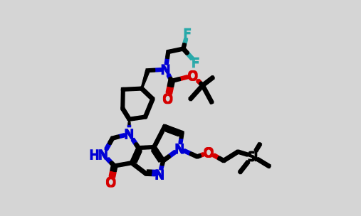 CC(C)(C)OC(=O)N(CC(F)F)C[C@H]1CC[C@H](N2CNC(=O)c3cnc4c(ccn4COCC[Si](C)(C)C)c32)CC1